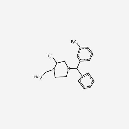 CC1CN(C(c2ccccc2)c2cccc(C(F)(F)F)c2)CCN1CC(=O)O